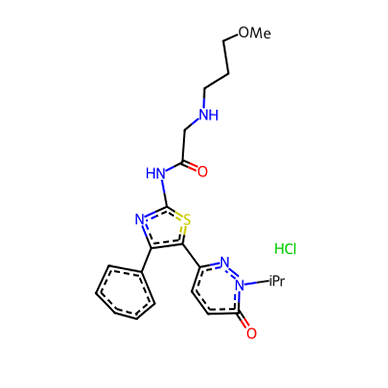 COCCCNCC(=O)Nc1nc(-c2ccccc2)c(-c2ccc(=O)n(C(C)C)n2)s1.Cl